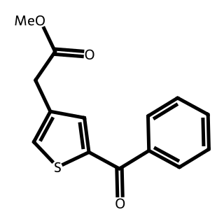 COC(=O)Cc1csc(C(=O)c2ccccc2)c1